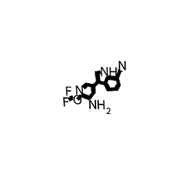 N#Cc1cccc2c(-c3cnc(OC(F)F)c(N)c3)c[nH]c12